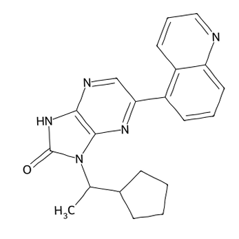 CC(C1CCCC1)n1c(=O)[nH]c2ncc(-c3cccc4ncccc34)nc21